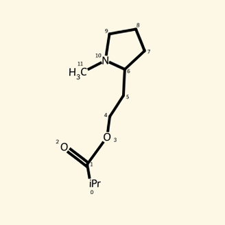 CC(C)C(=O)OCCC1CCCN1C